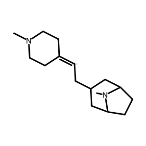 CN1CCC(=[C]CC2CC3CCC(C2)N3C)CC1